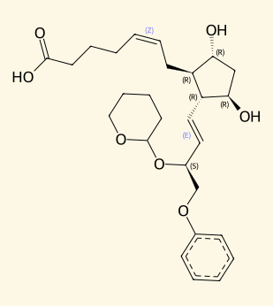 O=C(O)CCC/C=C\C[C@@H]1[C@@H](/C=C/[C@@H](COc2ccccc2)OC2CCCCO2)[C@H](O)C[C@H]1O